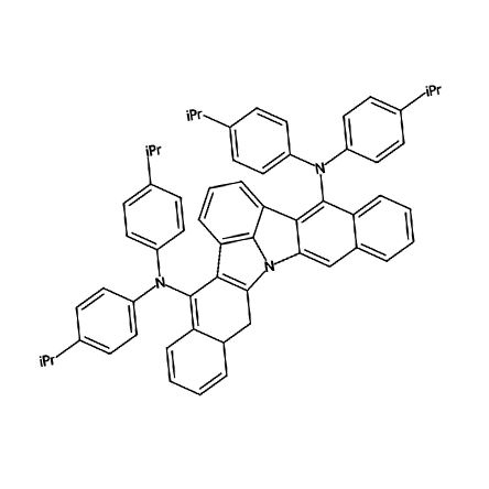 CC(C)c1ccc(N(C2=C3C=CC=CC3Cc3c2c2cccc4c5c(N(c6ccc(C(C)C)cc6)c6ccc(C(C)C)cc6)c6ccccc6cc5n3c24)c2ccc(C(C)C)cc2)cc1